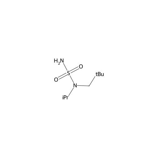 CC(C)N(CC(C)(C)C)S(N)(=O)=O